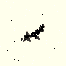 CCc1cc(OCC(C)(C)C(=O)OC)ccc1-c1ccc(-c2nc(C(F)(F)F)c[nH]2)cn1